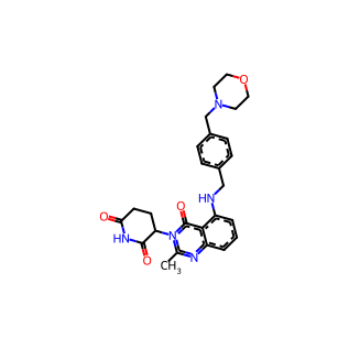 Cc1nc2cccc(NCc3ccc(CN4CCOCC4)cc3)c2c(=O)n1C1CCC(=O)NC1=O